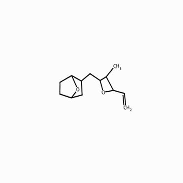 C=CC1OC(CC2CC3CCC2O3)C1C